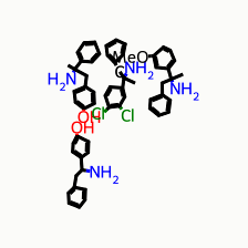 CC(N)(Cc1ccc(O)cc1)c1ccccc1.CC(N)(Cc1ccccc1)c1ccc(Cl)c(Cl)c1.COc1cccc(C(C)(N)Cc2ccccc2)c1.NC(Cc1ccccc1)c1ccc(O)cc1